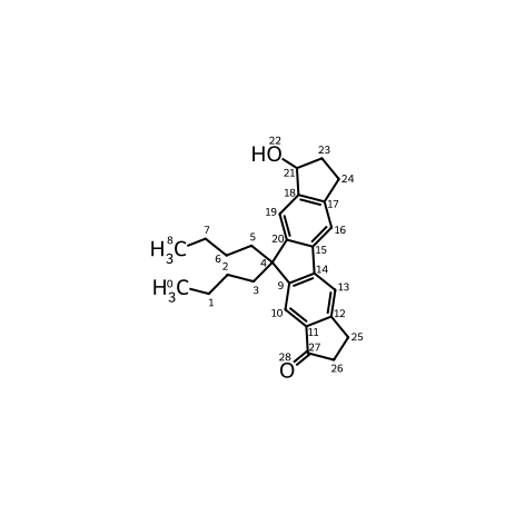 CCCCC1(CCCC)c2cc3c(cc2-c2cc4c(cc21)C(O)CC4)CCC3=O